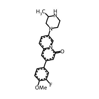 COc1ccc(-c2cc(=O)n3cc(N4CCNC(C)C4)ccc3c2)cc1F